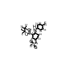 CC1(C)OB(c2cc(CS(C)(=O)=O)ccc2Nc2ccc(F)cc2)OC1(C)C